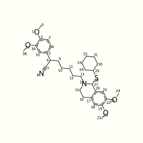 COc1ccc(C(C#N)CCCCCN2CCc3cc(OC)c(OC)cc3C2SC2CCCCC2)cc1OC